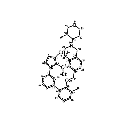 CCOc1c(C(=O)O)cnn1-c1cccc(-c2cccc(C)c2OCc2ccc3c(c2)CCN(C2CCOCC2C)C3)n1